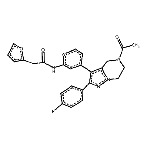 CC(=O)N1CCn2nc(-c3ccc(F)cc3)c(-c3ccnc(NC(=O)Cc4ccco4)c3)c2C1